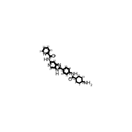 NC1CCC(C(=O)Nc2ccc(-c3nc4cc(NC(=O)c5ccccn5)ncc4[nH]3)cc2)CC1